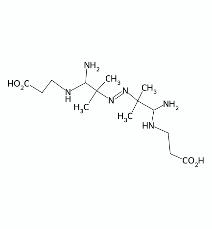 CC(C)(N=NC(C)(C)C(N)NCCC(=O)O)C(N)NCCC(=O)O